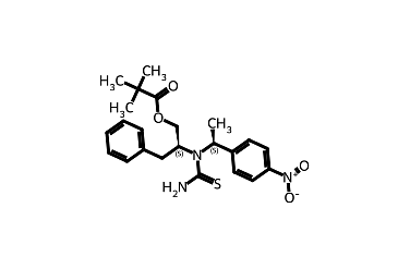 C[C@@H](c1ccc([N+](=O)[O-])cc1)N(C(N)=S)[C@H](COC(=O)C(C)(C)C)Cc1ccccc1